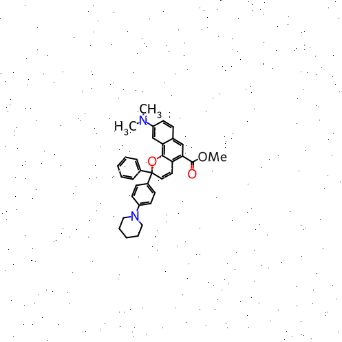 COC(=O)c1cc2ccc(N(C)C)cc2c2c1C=CC(c1ccccc1)(c1ccc(N3CCCCC3)cc1)O2